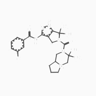 CC1(C)CN2CCCC2CN1C(=O)N1Cc2c(NC(=O)c3cccc(Cl)c3)n[nH]c2C1(C)C